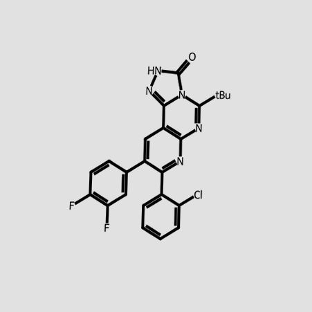 CC(C)(C)c1nc2nc(-c3ccccc3Cl)c(-c3ccc(F)c(F)c3)cc2c2n[nH]c(=O)n12